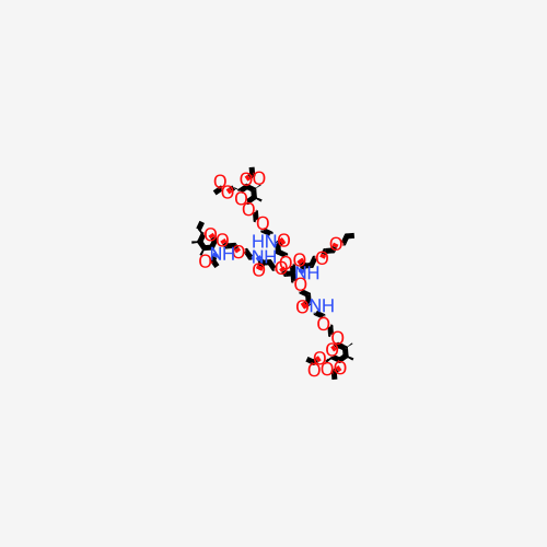 CCCOCCOCCC(=O)NC(COCCC(=O)NCCOCCO[C@@H]1O[C@H](COC(C)=O)[C@H](OC(C)=O)[C@H](C)[C@H]1C)(COCCC(=O)NCCOCCO[C@@H]1O[C@H](COC(C)=O)[C@H](OC(C)=O)[C@H](C)[C@H]1C)COCCC(=O)NCCOCCO[C@@H]1O[C@H](CC)[C@H](C)[C@H](C)[C@H]1NC(C)=O